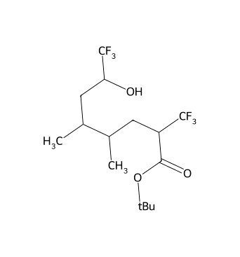 CC(CC(O)C(F)(F)F)C(C)CC(C(=O)OC(C)(C)C)C(F)(F)F